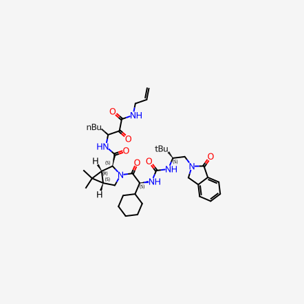 C=CCNC(=O)C(=O)C(CCCC)NC(=O)[C@@H]1[C@@H]2[C@H](CN1C(=O)[C@@H](NC(=O)N[C@H](CN1Cc3ccccc3C1=O)C(C)(C)C)C1CCCCC1)C2(C)C